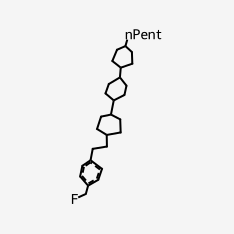 CCCCCC1CCC(C2CCC(C3CCC(CCc4ccc(CF)cc4)CC3)CC2)CC1